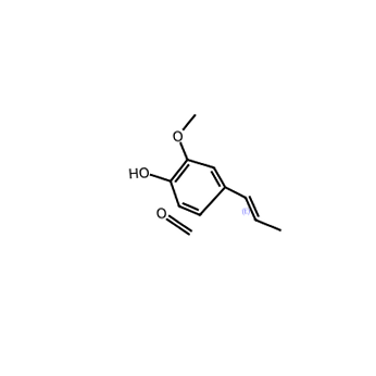 C/C=C/c1ccc(O)c(OC)c1.C=O